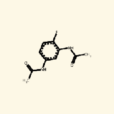 CC(=O)Nc1ccc(F)c(NC(C)=O)c1